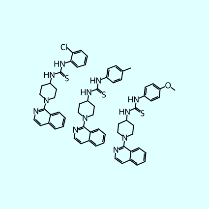 COc1ccc(NC(=S)NC2CCN(c3nccc4ccccc34)CC2)cc1.Cc1ccc(NC(=S)NC2CCN(c3nccc4ccccc34)CC2)cc1.S=C(Nc1ccccc1Cl)NC1CCN(c2nccc3ccccc23)CC1